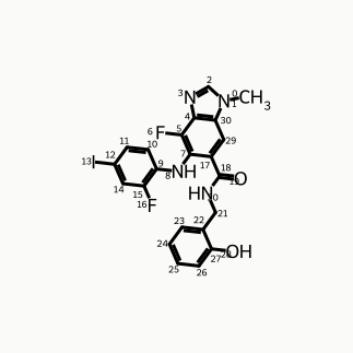 Cn1cnc2c(F)c(Nc3ccc(I)cc3F)c(C(=O)NCc3ccccc3O)cc21